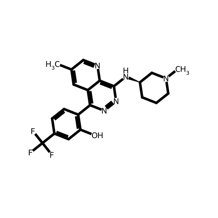 Cc1cnc2c(N[C@@H]3CCCN(C)C3)nnc(-c3ccc(C(F)(F)F)cc3O)c2c1